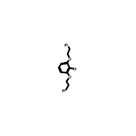 C[CH]c1c(OCCC(C)C)cccc1OCCC(C)C